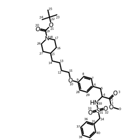 COC(=O)C(Cc1ccc(OCCCCC2CCN(C(=O)OC(C)(C)C)CC2)cc1)NS(=O)(=O)Cc1ccccc1